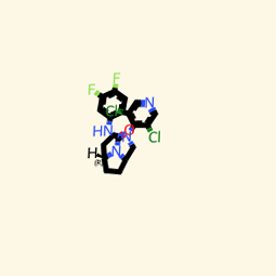 O=C(Nc1ccc(F)c(F)c1)N1C2CC[C@@H]1CCN(c1c(Cl)cncc1Cl)C2